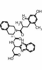 Cc1cc(O)cc(C)c1CC(N)C(=O)N1Cc2ccccc2C[C@H]1C(=O)NC(CC(=O)O)c1nc2ccccc2[nH]1